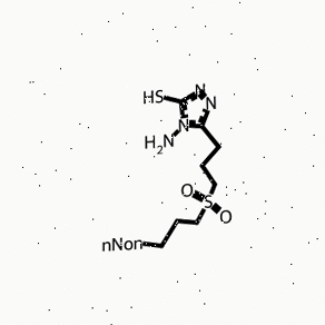 CCCCCCCCCCCCS(=O)(=O)CCCc1nnc(S)n1N